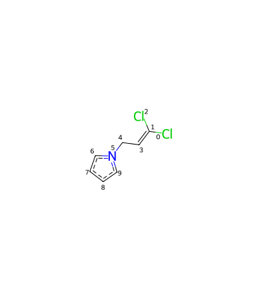 ClC(Cl)=CCn1cccc1